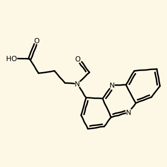 O=CN(CCCC(=O)O)c1cccc2nc3ccccc3nc12